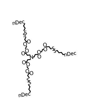 CCCCCCCCCCCCCCSSCCC(=O)OCCOC(=O)CCN(CCC(=O)OCCOC(=O)CCSSCCCCCCCCCCCCCC)CCC(=O)OCCOC(=O)CCSSCCCCCCCCCCCCCC